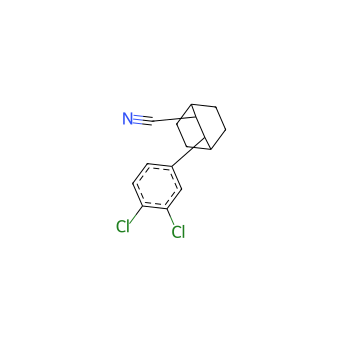 N#CC1C2CCC(CC2)C1c1ccc(Cl)c(Cl)c1